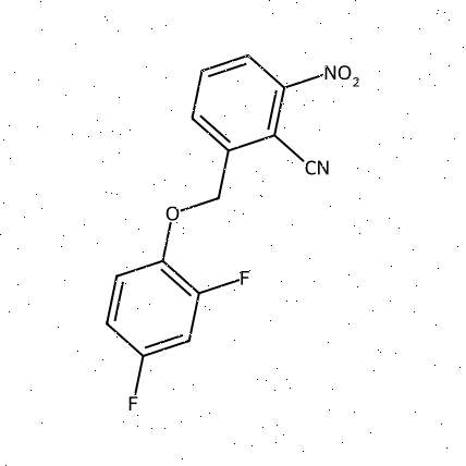 N#Cc1c(COc2ccc(F)cc2F)cccc1[N+](=O)[O-]